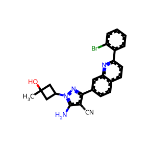 CC1(O)CC(n2nc(-c3ccc4ccc(-c5ccccc5Br)nc4c3)c(C#N)c2N)C1